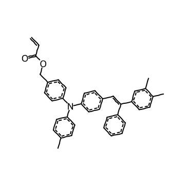 C=CC(=O)OCc1ccc(N(c2ccc(C)cc2)c2ccc(/C=C(\c3ccccc3)c3ccc(C)c(C)c3)cc2)cc1